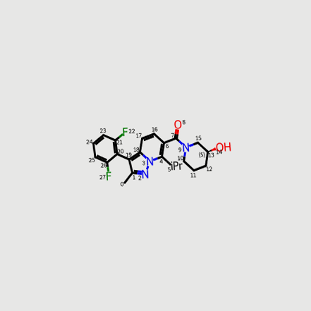 Cc1nn2c(C(C)C)c(C(=O)N3CCC[C@H](O)C3)ccc2c1-c1c(F)cccc1F